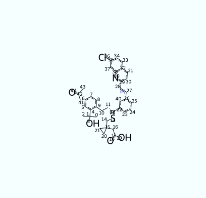 CC(C)(O)c1ccccc1CC[C@@H](SCC1(CC(=O)O)CC1)c1cccc(/C=C/c2ccc3ccc(Cl)cc3n2)c1.CC(C)=O